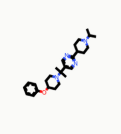 CC(C)N1CCC(c2ncc(C(C)(C)N3CCC(Oc4ccccc4)CC3)cn2)CC1